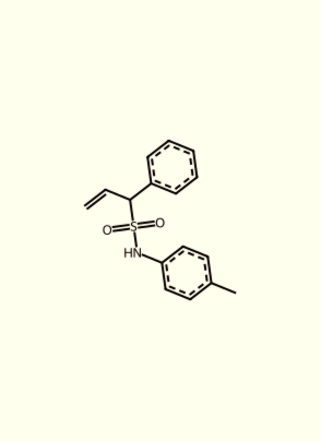 C=CC(c1ccccc1)S(=O)(=O)Nc1ccc(C)cc1